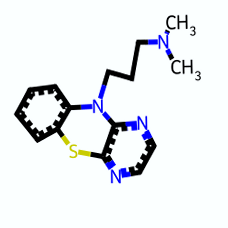 CN(C)CCCN1c2ccccc2Sc2nccnc21